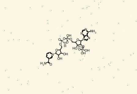 NC(=O)c1ccc[n+](C2OC(COP(=O)(O)OP(=O)(O)OCC3OC(n4cnc5c(N)ncnc54)C(O[PH](O)(O)O)C3O)C(O)C2O)c1